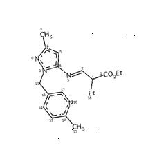 CCOC(=O)C(/C=N/c1cc(C)nn1Cc1ccc(C)nc1)CC